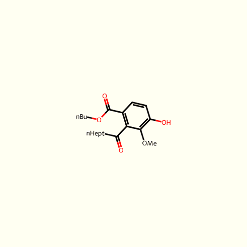 CCCCCCCC(=O)c1c(C(=O)OCCCC)ccc(O)c1OC